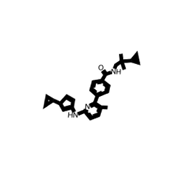 Cc1ccc(NC2=CC(C3CC3)C=C2)nc1-c1ccc(C(=O)NCC(C)(C)C2=CC2)cc1